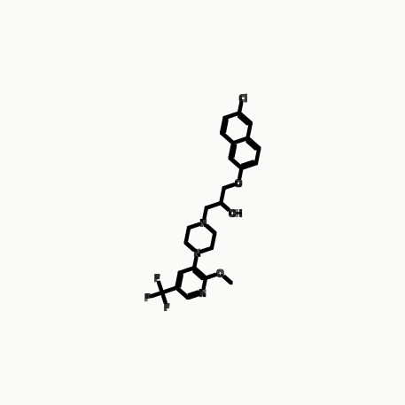 COc1ncc(C(F)(F)F)cc1N1CCN(CC(O)COc2ccc3cc(Cl)ccc3c2)CC1